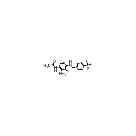 CC(=O)Nc1ccc(NCc2ccc(C(F)(F)F)cc2)c(F)c1N